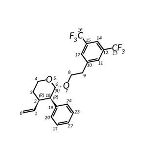 C=C[C@H]1CCO[C@H](OCCc2cc(C(F)(F)F)cc(C(F)(F)F)c2)[C@H]1c1ccccc1